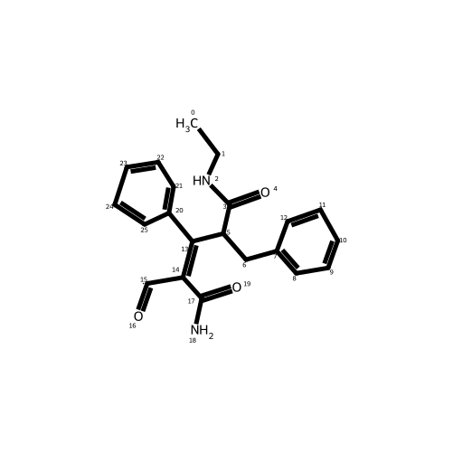 CCNC(=O)C(Cc1ccccc1)C(=C([C]=O)C(N)=O)c1ccccc1